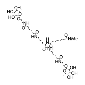 CNC(=O)CCCCCCC(=O)N[C@@H](CCCCNC(=O)CCCCC(=O)NCCO[C@@H]1O[C@@H](C)[C@@H](O)[C@@H](O)[C@@H]1O)C(=O)NCCCCCC(=O)NCCO[C@@H]1O[C@@H](C)[C@@H](O)[C@@H](O)[C@@H]1O